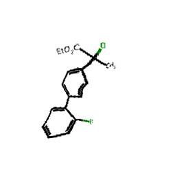 CCOC(=O)C(C)(Cl)c1ccc(-c2ccccc2F)cc1